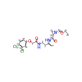 C=C(CCNC(=O)COc1ccc(Cl)c(Cl)c1)NC(=O)C1CN1SOCC